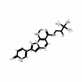 CC(C)Nc1c(C(=O)NCC(F)C(C)(C)O)cnc2cc(-c3ccc(=O)[nH]c3)nn12